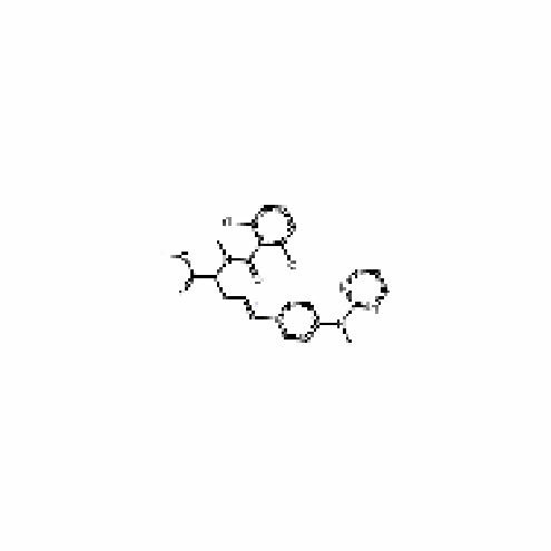 COC(=O)C(C/C=C/c1ccc(N(C)c2ncccn2)cc1)N(C)C(=O)c1c(Cl)cccc1Cl